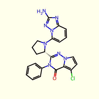 Nc1nc2cccc(N3CCC[C@H]3c3nn4ccc(Cl)c4c(=O)n3-c3ccccc3)n2n1